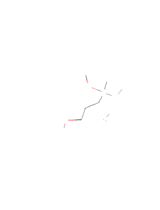 CCOCCC[Si](C)(OCC)OCC.CN